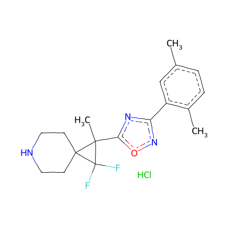 Cc1ccc(C)c(-c2noc(C3(C)C(F)(F)C34CCNCC4)n2)c1.Cl